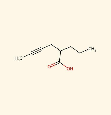 CC#CCC(CCC)C(=O)O